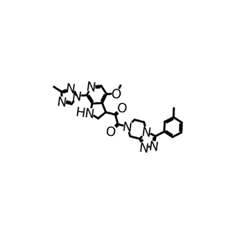 COc1cnc(-n2cnc(C)n2)c2c1C(C(=O)C(=O)N1CCn3c(nnc3-c3cccc(C)c3)C1)CN2